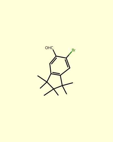 CC1(C)c2cc(Br)c(C=O)cc2C(C)(C)C1(C)C